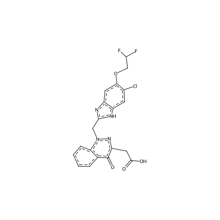 O=C(O)Cc1nn(Cc2nc3cc(OCC(F)F)c(Cl)cc3[nH]2)c2ccccc2c1=O